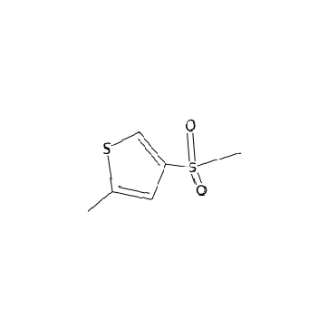 Cc1cc(S(C)(=O)=O)cs1